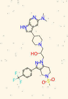 CN(C)c1cc2c(C3CCN(CC(O)Cn4nc(-c5ccc(C(F)(F)F)cc5)c5c4CCN(S(C)(=O)=O)C5)CC3)c[nH]c2cn1